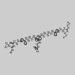 CCCCC(CCCC)CCCCOC(=O)CCCCCCCC(CCCCCCCC(=O)OCCCCC(CCCC)CCCC)OC(=O)CCCN(C)C